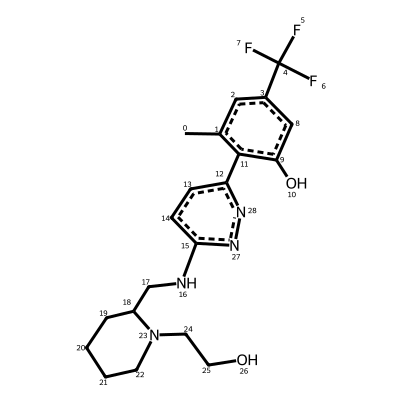 Cc1cc(C(F)(F)F)cc(O)c1-c1ccc(NCC2CCCCN2CCO)nn1